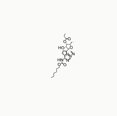 [CH2][C@H]1O[C@@](C#N)(c2ccc3c(NC(=O)OCCCCCC)ncnn23)[C@H](O)[C@@H]1OC(=O)CC